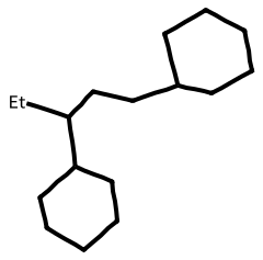 CCC(CCC1CCCCC1)C1CCCCC1